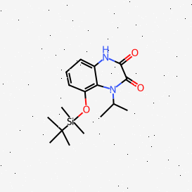 CC(C)n1c(=O)c(=O)[nH]c2cccc(O[Si](C)(C)C(C)(C)C)c21